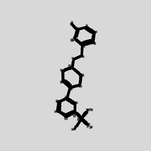 Cc1cccc(CCN2CC=C(c3cccc(C(F)(F)F)c3)CC2)n1